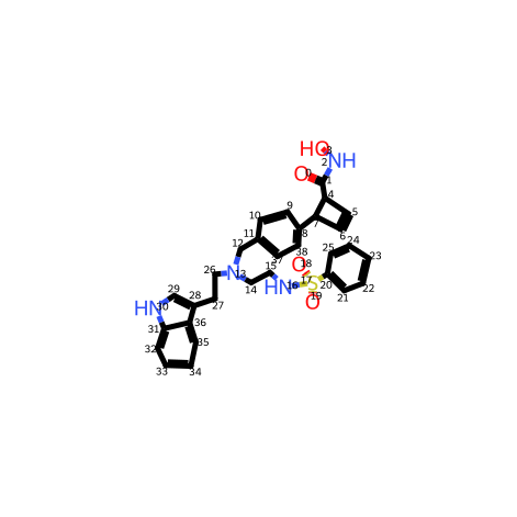 O=C(NO)C1C#CC1c1ccc(CN(CCNS(=O)(=O)c2ccccc2)CCc2c[nH]c3ccccc23)cc1